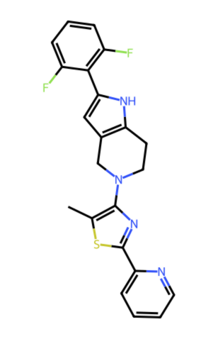 Cc1sc(-c2ccccn2)nc1N1CCc2[nH]c(-c3c(F)cccc3F)cc2C1